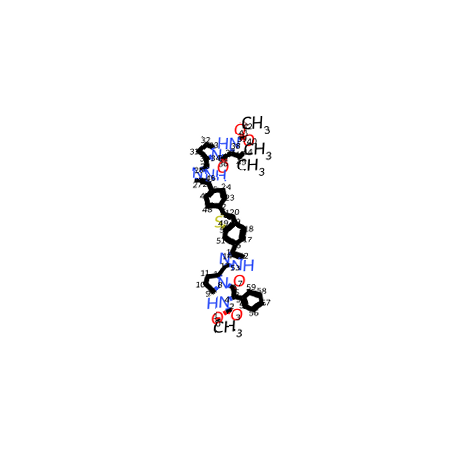 COC(=O)NC(C(=O)N1CCCC1c1nc(-c2ccc3cc(-c4ccc(-c5cnc(C6CCCN6C(=O)C(NC(=O)OC)C(C)C)[nH]5)cc4)sc3c2)c[nH]1)c1ccccc1